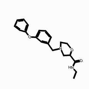 CCNC(=O)C1CN(Cc2cccc(Oc3ccccc3)c2)CCO1